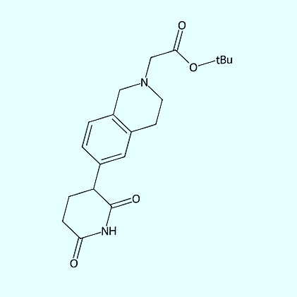 CC(C)(C)OC(=O)CN1CCc2cc(C3CCC(=O)NC3=O)ccc2C1